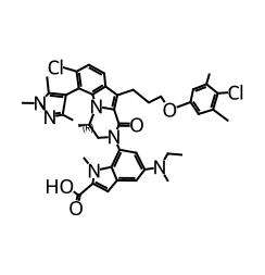 CCN(C)c1cc(N2C[C@@H](C)n3c(c(CCCOc4cc(C)c(Cl)c(C)c4)c4ccc(Cl)c(-c5c(C)nn(C)c5C)c43)C2=O)c2c(c1)cc(C(=O)O)n2C